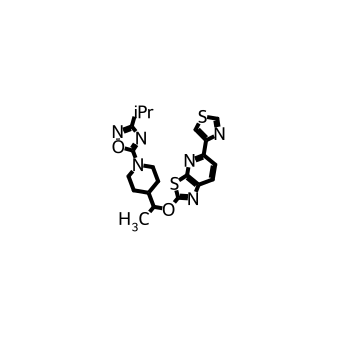 CC(C)c1noc(N2CCC(C(C)Oc3nc4ccc(-c5cscn5)nc4s3)CC2)n1